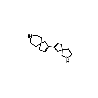 C1=C(C2=CCC3(CCNC3)C2)CC2(C1)CCNCC2